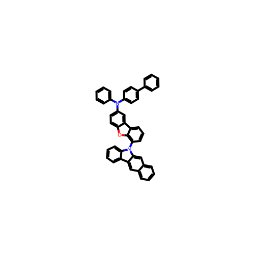 c1ccc(-c2ccc(N(c3ccccc3)c3ccc4oc5c(-n6c7ccccc7c7cc8ccccc8cc76)cccc5c4c3)cc2)cc1